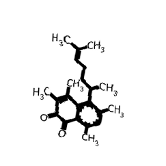 CC(C)=CCCC(C)c1c(C)cc(C)c2c1C(C)=C(C)C(=O)C2=O